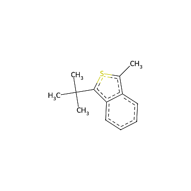 Cc1sc(C(C)(C)C)c2ccccc12